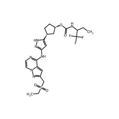 CCC(NC(=O)O[C@@H]1CC[C@H](c2cc(Nc3nccn4nc(CS(=O)(=O)CC)cc34)n[nH]2)C1)C(F)(F)F